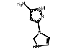 Nc1cc(N2C=CNC2)n[nH]1